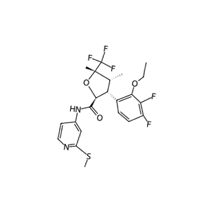 CCOc1c([C@@H]2[C@@H](C(=O)Nc3ccnc(SC)c3)O[C@](C)(C(F)(F)F)[C@@H]2C)ccc(F)c1F